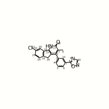 Cc1c(-c2cccc(-c3ncno3)c2)c2c([nH]c1=O)-c1cc(Cl)ccc1C2